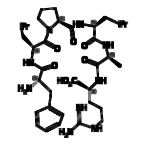 CC(C)C[C@H](NC(=O)[C@@H]1CCCN1C(=O)[C@H](CC(C)C)NC(=O)[C@@H](N)Cc1ccccc1)C(=O)N[C@@H](C)C(=O)N[C@@H](CCCNC(=N)N)C(=O)O